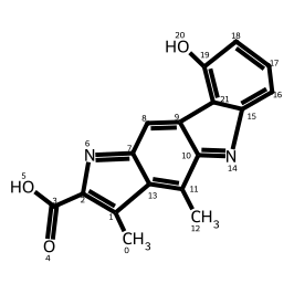 CC1=C(C(=O)O)N=c2cc3c(c(C)c21)=Nc1cccc(O)c1-3